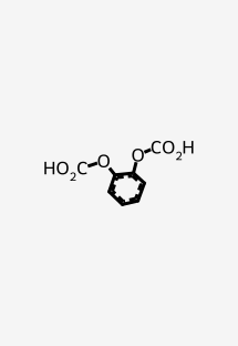 O=C(O)Oc1ccccc1OC(=O)O